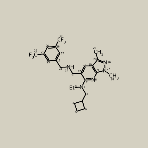 CCN(CC1CCC1)c1nc2c(cc1CNCc1cc(C(F)(F)F)cc(C(F)(F)F)c1)c(C)nn2C